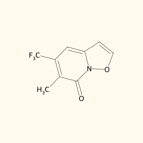 Cc1c(C(F)(F)F)cc2ccon2c1=O